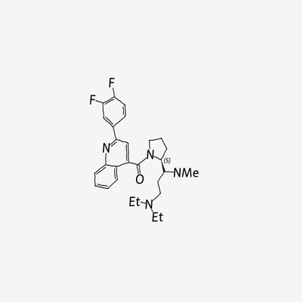 CCN(CC)CCC(NC)[C@@H]1CCCN1C(=O)c1cc(-c2ccc(F)c(F)c2)nc2ccccc12